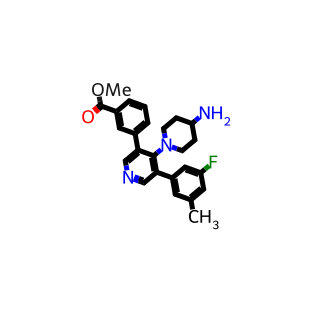 COC(=O)c1cccc(-c2cncc(-c3cc(C)cc(F)c3)c2N2CCC(N)CC2)c1